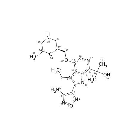 CCn1c(-c2nonc2N)nc2c(C(C)(C)O)ncc(OC[C@@H]3CNCC(C)O3)c21